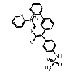 CN(c1ccccn1)c1nc(Cl)c(-c2ccc(NS(C)(=O)=O)cc2)c2cccc(-c3ccccc3)c12